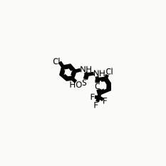 Oc1ccc(Cl)cc1NC(=S)Nc1cc(C(F)(F)F)ccc1Cl